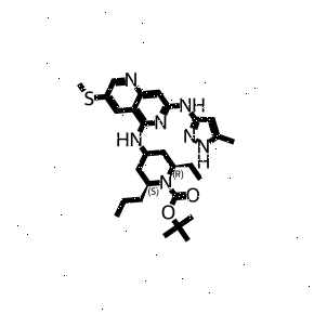 CCC[C@H]1CC(Nc2nc(Nc3cc(C)[nH]n3)cc3ncc(SC)cc23)C[C@@H](CC)N1C(=O)OC(C)(C)C